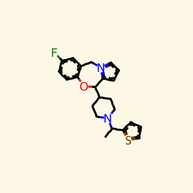 CC(c1cccs1)N1CCC(C2Oc3ccc(F)cc3Cn3cccc32)CC1